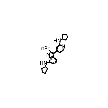 CCCc1nn2c(NC3CCCC3)cccc2c1-c1ccnc(NC2CCCC2)c1